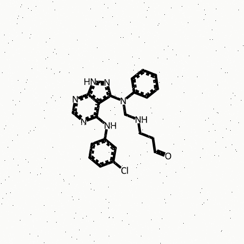 O=CCCNCN(c1ccccc1)c1n[nH]c2ncnc(Nc3cccc(Cl)c3)c12